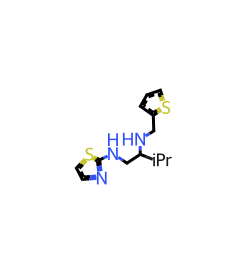 CC(C)C(CNc1nccs1)NCc1cccs1